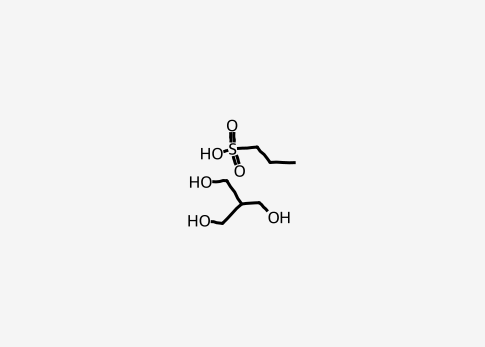 CCCS(=O)(=O)O.OCC(CO)CO